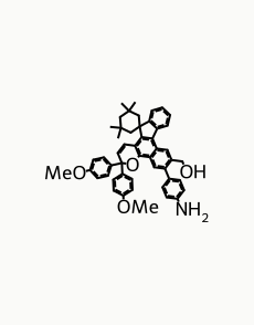 COc1ccc(C2(c3ccc(OC)cc3)C=Cc3c4c(c5cc(CO)c(-c6ccc(N)cc6)cc5c3O2)-c2ccccc2C42CC(C)(C)CC(C)(C)C2)cc1